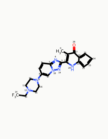 Cc1c(-c2nc3ccc(N4CCN(CC(F)(F)F)CC4)cn3n2)[nH]c2ccccc2c1=O